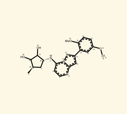 [CH2][C@@H]1C[C@@H](Nc2ccnc3cc(-c4cc(OC(F)(F)F)ccc4OC)nn23)C(O)C1O